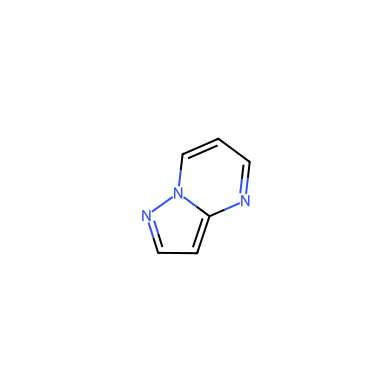 c1cnc2ccnn2c1